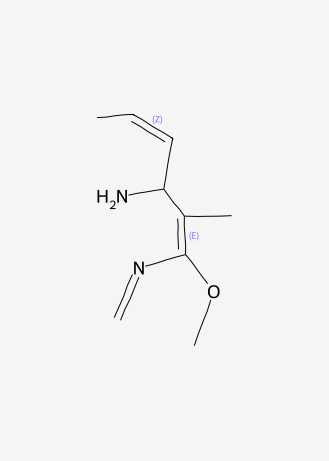 C=N/C(OC)=C(/C)C(N)/C=C\C